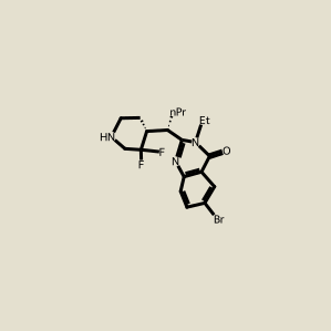 CCC[C@H](c1nc2ccc(Br)cc2c(=O)n1CC)[C@H]1CCNCC1(F)F